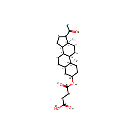 CC(=O)C1CCC2C3CCC4CC(OC(=O)CCC(=O)O)CC[C@]4(C)C3CC[C@]12C